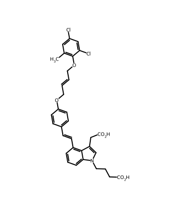 Cc1cc(Cl)cc(Cl)c1OCC=CCOc1ccc(C=Cc2cccc3c2c(CC(=O)O)cn3CCCC(=O)O)cc1